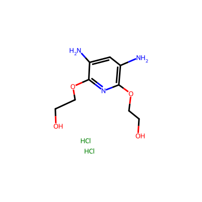 Cl.Cl.Nc1cc(N)c(OCCO)nc1OCCO